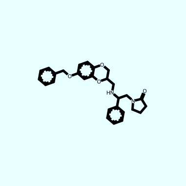 O=C1CCCN1CC(NCC1COc2ccc(OCc3ccccc3)cc2O1)c1ccccc1